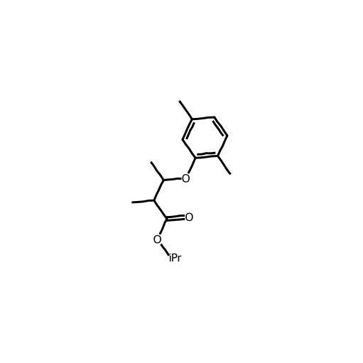 Cc1ccc(C)c(OC(C)C(C)C(=O)OC(C)C)c1